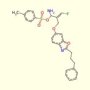 Cc1ccc(S(=O)(=O)OC(N)/C(=C/F)COc2ccc3nc(CCCc4ccccc4)oc3c2)cc1